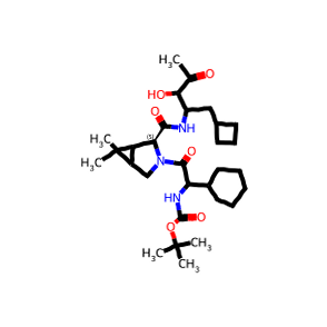 CC(=O)C(O)C(CC1CCC1)NC(=O)[C@@H]1C2C(CN1C(=O)C(NC(=O)OC(C)(C)C)C1CCCCC1)C2(C)C